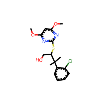 COc1cc(OC)nc(SC(CO)C(C)(C)c2ccccc2Cl)n1